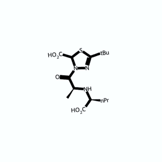 CCC[C@H](N[C@@H](C)C(=O)N1N=C(C(C)(C)C)SC1C(=O)O)C(=O)O